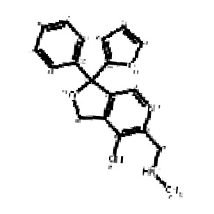 CNCc1ncc2c(c1O)COC2(c1ccccc1)c1ccco1